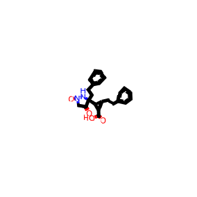 O=C(O)C1C(CCc2ccccc2)C1C1(CCc2ccccc2)N[N+](=O)CC1=O